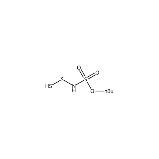 CCCCOS(=O)(=O)NSS